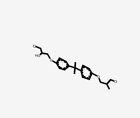 CC(CCl)COc1ccc(C(C)(C)c2ccc(OCC(O)CCl)cc2)cc1